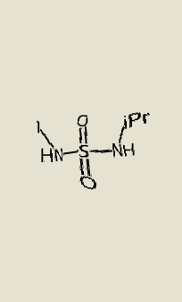 CC(C)NS(=O)(=O)NI